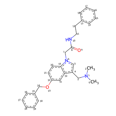 CN(C)Cc1cn(CC(=O)NCCc2ccccc2)c2ccc(OCc3ccccc3)cc12